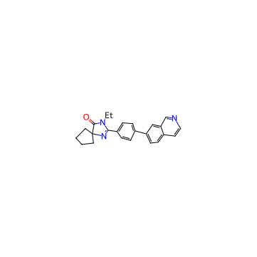 CCN1C(=O)C2(CCCC2)N=C1c1ccc(-c2ccc3ccncc3c2)cc1